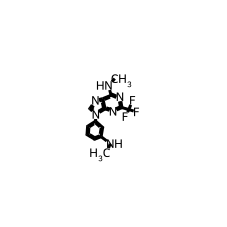 CNc1cccc(-n2cnc3c(NC)nc(C(F)(F)F)nc32)c1